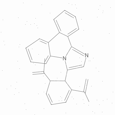 C=C(C)C1=CC=CC(C(=C)C)C1c1cnc2c3ccccc3c3ccccc3n12